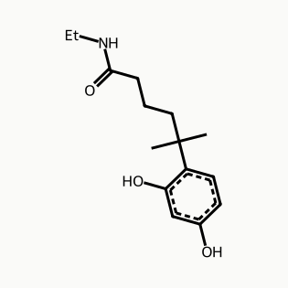 CCNC(=O)CCCC(C)(C)c1ccc(O)cc1O